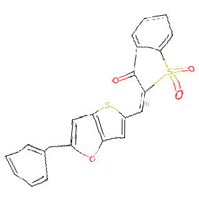 O=C1/C(=C\c2cc3oc(-c4ccccc4)cc3s2)S(=O)(=O)c2ccccc21